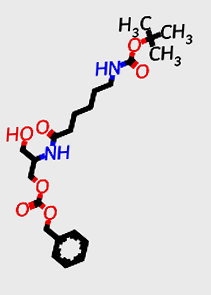 CC(C)(C)OC(=O)NCCCCCC(=O)NC(CO)COC(=O)OCc1ccccc1